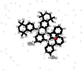 CC(C)(C)c1ccc(N2c3cc(C(C)(C)C)cc4c3B(c3cc5c(cc3N4c3ccc4c(c3)C(C)(C)CCC4(C)C)C(C)(C)CCC5(C)C)c3c2sc2ccccc32)c(-c2ccccc2)c1